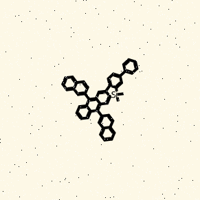 C[Si]1(C)c2cc(-c3ccccc3)ccc2-c2cc3c(-c4ccc5ccccc5c4)c4ccccc4c(-c4ccc5ccccc5c4)c3cc21